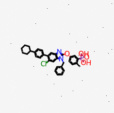 Cc1ccc(Oc2nc3cc(-c4ccc(C5CCCCC5)cc4)c(Cl)cc3n2Cc2ccccc2)cc1P(=O)(O)O